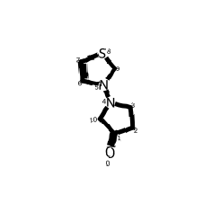 O=C1CCN(N2C=CSC2)C1